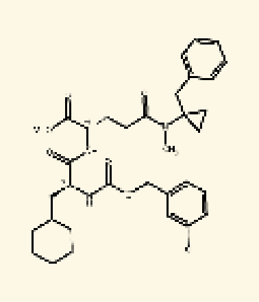 COC(=O)[C@H](CCC(=O)N(C)C1(Cc2ccccc2)CC1)NC(=O)[C@H](CC1CCCCC1)NC(=O)OCc1cccc(Cl)c1